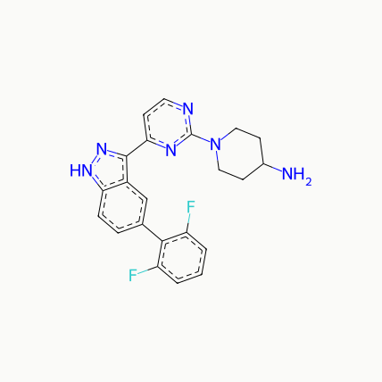 NC1CCN(c2nccc(-c3n[nH]c4ccc(-c5c(F)cccc5F)cc34)n2)CC1